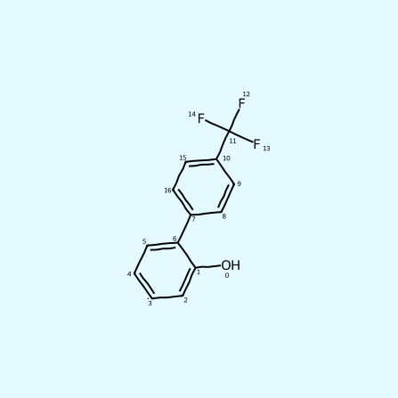 Oc1c[c]ccc1-c1ccc(C(F)(F)F)cc1